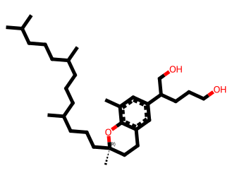 Cc1cc(C(CO)CCCO)cc2c1O[C@](C)(CCCC(C)CCCC(C)CCCC(C)C)CC2